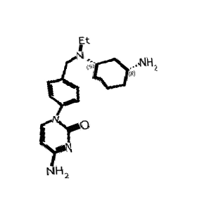 CCN(Cc1ccc(-n2ccc(N)nc2=O)cc1)[C@H]1CCC[C@@H](N)C1